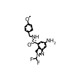 COc1ccc(CN[S+]([O-])c2cc(N)cc3nn(C(F)F)cc23)cc1